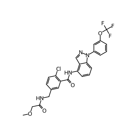 COCC(=O)NCc1ccc(Cl)c(C(=O)Nc2cccc3c2cnn3-c2cccc(OC(F)(F)F)c2)c1